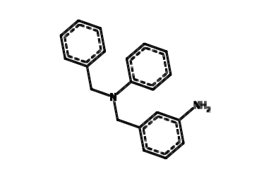 Nc1cccc(CN(Cc2ccccc2)c2ccccc2)c1